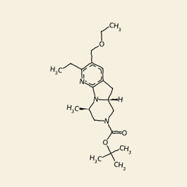 CCOCc1cc2c(nc1CC)N1[C@H](C2)CN(C(=O)OC(C)(C)C)C[C@H]1C